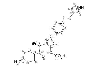 CC(C)N(c1nn(-c2ccc(CCc3cc[nH]n3)cc2)cc1OC(=O)O)C(=O)[C@H]1CC[C@H](C)CC1